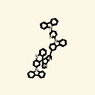 c1ccc2c(c1)Sc1ccc(-n3c4ccccc4c4ccccc43)cc1C21c2cccnc2-c2ncc(-c3ccc4c(c3)c3ccccc3n4-c3ccc(-n4c5ccccc5c5ccccc54)cn3)cc21